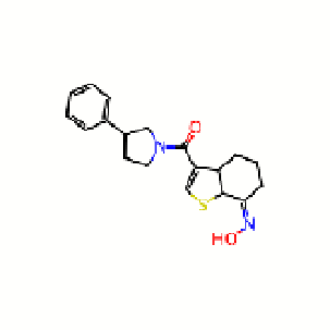 O=C(C1=CSC2/C(=N\O)CCCC12)N1CCC(c2ccccc2)C1